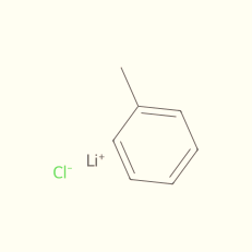 Cc1ccccc1.[Cl-].[Li+]